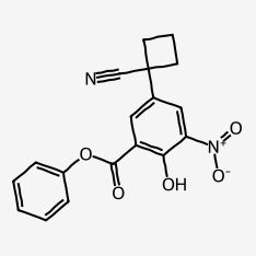 N#CC1(c2cc(C(=O)Oc3ccccc3)c(O)c([N+](=O)[O-])c2)CCC1